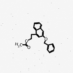 CC(=O)OCCc1cc(OCc2ccccc2)cc2ccccc12